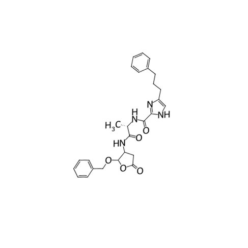 C[C@H](NC(=O)c1nc(CCCc2ccccc2)c[nH]1)C(=O)NC1CC(=O)OC1OCc1ccccc1